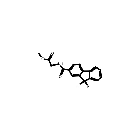 COC(=O)CNC(=O)c1ccc2c(c1)C(F)(F)c1ccccc1-2